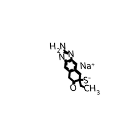 CCC1([S-])C=c2cc3c(cc2CC1=O)=NC(N)=N3.[Na+]